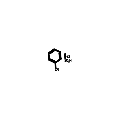 CS(=O)(=O)O.Cl.N#Cc1ccccc1